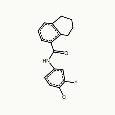 O=C(Nc1ccc(Cl)c(F)c1)c1cccc2c1CCCC2